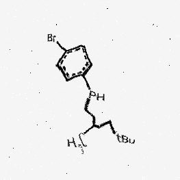 CC(CPc1ccc(Br)cc1)CC(C)(C)C